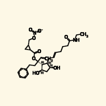 C=CC(CCc1ccccc1)(OC(=O)C1CC1CO[N+](=O)[O-])[C@@H]1[C@@H](CC=CCCCC(=O)NCC)[C@@H](O)C[C@H]1O